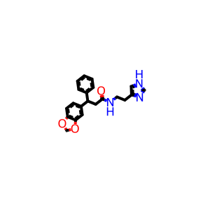 O=C(CC(c1ccccc1)c1ccc2c(c1)OCO2)NCCc1c[nH]cn1